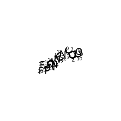 CC(c1ccc2c(c1)OCC2)N1CCN(c2ccc(C(F)(F)F)nn2)CC1